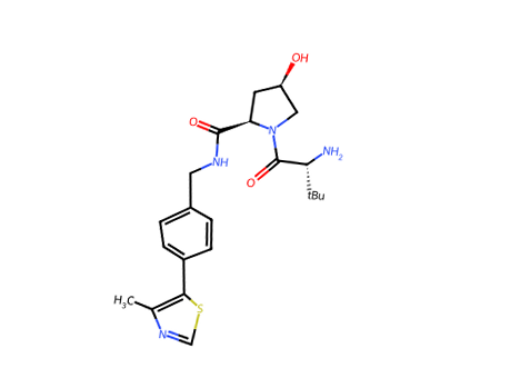 Cc1ncsc1-c1ccc(CNC(=O)[C@H]2C[C@@H](O)CN2C(=O)[C@H](N)C(C)(C)C)cc1